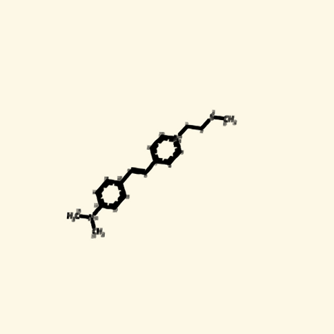 CSCC[n+]1ccc(/C=C/c2ccc(N(C)C)cc2)cc1